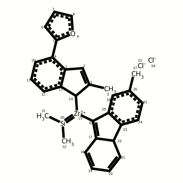 CC1=Cc2c(-c3ccco3)cccc2[CH]1[Zr+2]([C]1=C2C=CC=CC2c2ccc(C)cc21)=[Si](C)C.[Cl-].[Cl-]